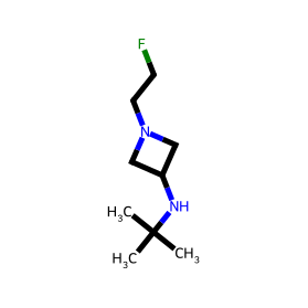 CC(C)(C)NC1CN(CCF)C1